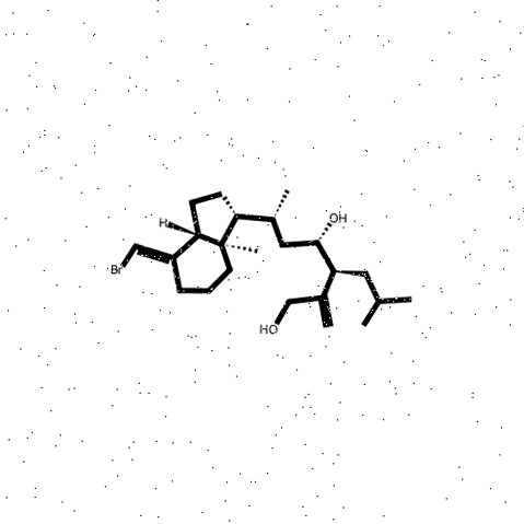 C=C(CO)[C@H](CC(C)C)[C@@H](O)C[C@@H](C)[C@H]1CC[C@H]2/C(=C/Br)CCC[C@]12C